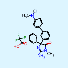 CN1C(=O)C(c2ccccc2)(c2cccc(-c3ccc(N(C)C)cc3)c2)N=C1N.O=C(O)C(F)(F)F